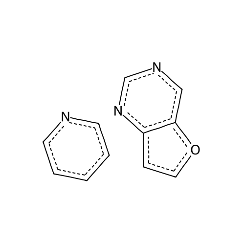 c1ccncc1.c1ncc2occc2n1